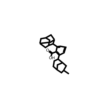 CC1CC2CCC(c3cccc(C4C5CC6CC(C5)CC4C6)c3C(=O)O)C(C1)C2